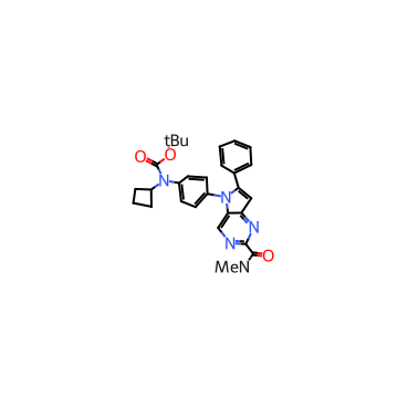 CNC(=O)c1ncc2c(cc(-c3ccccc3)n2-c2ccc(N(C(=O)OC(C)(C)C)C3CCC3)cc2)n1